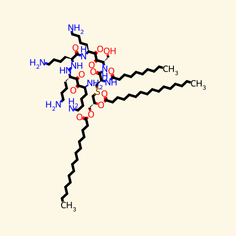 CCCCCCCCCCCCCCCC(=O)OC[C@H](CSC[C@H](NC(=O)CCCCCCCCC)C(=O)N[C@@H](CO)C(=O)C(=O)[C@H](CCCCN)NC(=O)[C@H](CCCCN)NN[C@@H](CCCCN)C(=O)C(=O)[C@@H](N)CCCCN)OC(=O)CCCCCCCCCCCCCCC